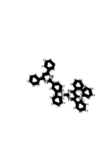 c1ccc(-c2cc(-c3ccccc3)nc(-c3ccc4c(c3)c3ccccc3n4-c3nc(-c4ccccc4)c4c(n3)c3ccccc3n4-c3ccccc3)n2)cc1